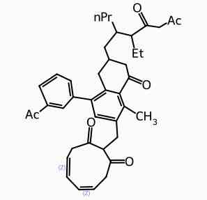 CCCC(CC1CC(=O)c2c(C)c(CC3C(=O)C/C=C\C=C/CC3=O)cc(-c3cccc(C(C)=O)c3)c2C1)C(CC)C(=O)CC(C)=O